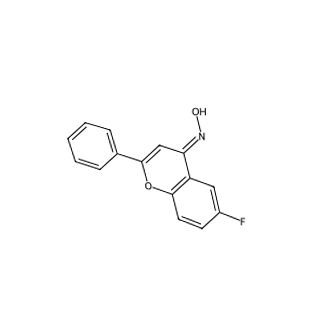 O/N=c1\cc(-c2ccccc2)oc2ccc(F)cc12